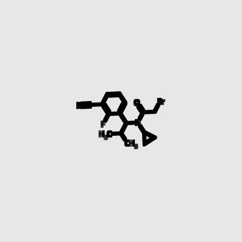 CC(C)C(c1cccc(C#N)c1F)N(C(=O)CBr)C1CC1